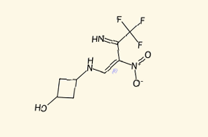 N=C(/C(=C\NC1CC(O)C1)[N+](=O)[O-])C(F)(F)F